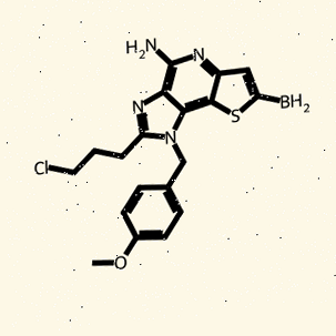 Bc1cc2nc(N)c3nc(CCCCl)n(Cc4ccc(OC)cc4)c3c2s1